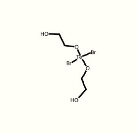 OCCO[Te](Br)(Br)OCCO